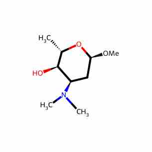 CO[C@H]1C[C@@H](N(C)C)[C@@H](O)[C@H](C)O1